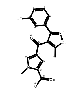 Cc1onc(-c2cccc(F)c2)c1C(=O)c1cc(C(=O)O)n(C)c1